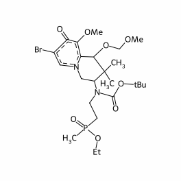 CCOP(C)(=O)CCN(C(=O)OC(C)(C)C)C1Cn2cc(Br)c(=O)c(OC)c2C(OCOC)C1(C)C